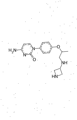 CC(CNC1CNC1)Oc1ccc(-n2ccc(N)nc2=O)cc1